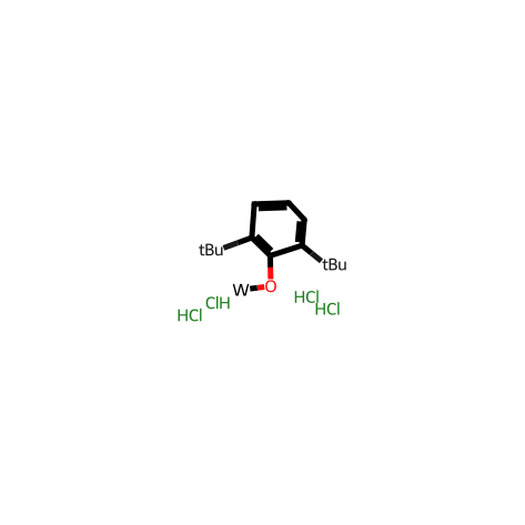 CC(C)(C)c1cccc(C(C)(C)C)c1[O][W].Cl.Cl.Cl.Cl